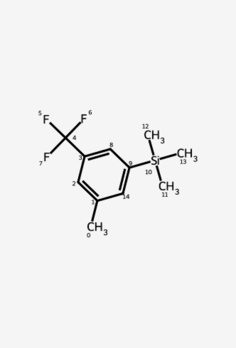 Cc1cc(C(F)(F)F)cc([Si](C)(C)C)c1